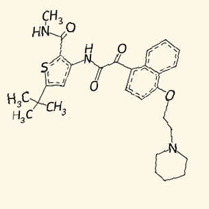 CNC(=O)c1sc(C(C)(C)C)cc1NC(=O)C(=O)c1ccc(OCCN2CCCCC2)c2ccccc12